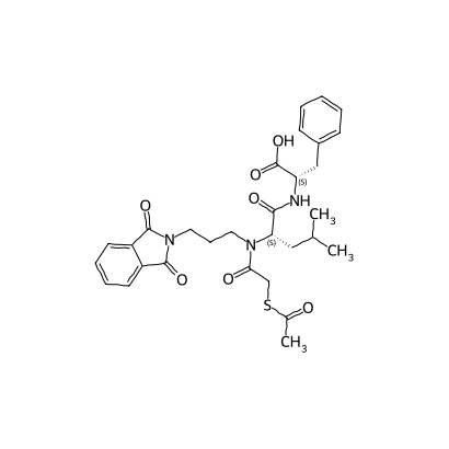 CC(=O)SCC(=O)N(CCCN1C(=O)c2ccccc2C1=O)[C@@H](CC(C)C)C(=O)N[C@@H](Cc1ccccc1)C(=O)O